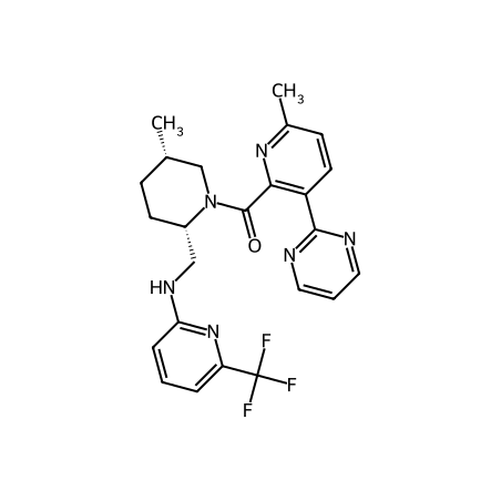 Cc1ccc(-c2ncccn2)c(C(=O)N2C[C@@H](C)CC[C@H]2CNc2cccc(C(F)(F)F)n2)n1